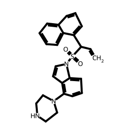 C=CC(c1cccc2ccccc12)S(=O)(=O)n1ccc2c(N3CCNCC3)cccc21